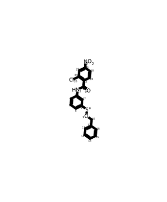 O=C(Nc1cccc(SOCc2ccccc2)c1)c1ccc([N+](=O)[O-])cc1Cl